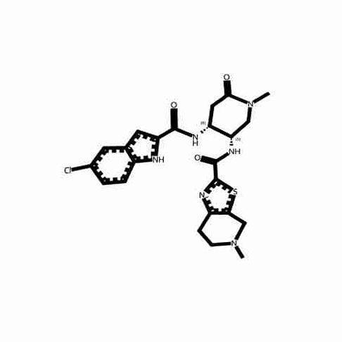 CN1CCc2nc(C(=O)N[C@H]3CN(C)C(=O)C[C@H]3NC(=O)c3cc4cc(Cl)ccc4[nH]3)sc2C1